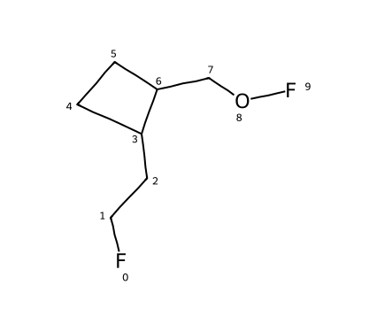 FCCC1CCC1COF